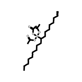 C=CCCCCCCC(CCCCCCCCC)[Si](OC(C)=O)(OC(C)=O)OC(C)=O